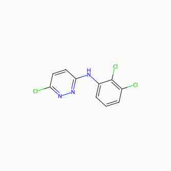 Clc1ccc(Nc2cccc(Cl)c2Cl)nn1